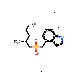 O=C(O)CCC(CP(=O)(O)Cc1cccc2[nH]ccc12)C(=O)O